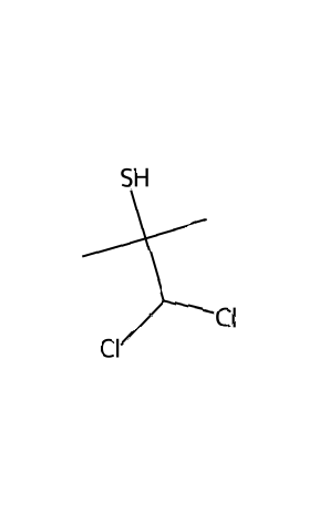 CC(C)(S)C(Cl)Cl